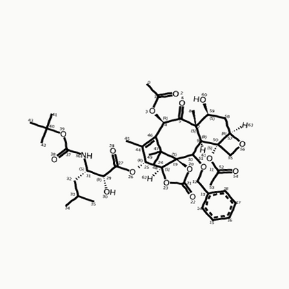 CC(=O)O[C@H]1C(=O)[C@@]2(C)[C@H](C(OCc3ccccc3)[C@]34OC(=O)O[C@H]3[C@H](OC(=O)[C@H](O)[C@H](CC(C)C)NC(=O)OC(C)(C)C)C(C)=C1C4(C)C)[C@]1(OC(C)=O)CO[C@@H]1C[C@@H]2O